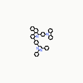 c1ccc(-c2cc(-c3ccc(-c4cccc5c4nc(-c4ccc(-n6c7ccccc7c7ccccc76)cc4)c4ccc6ccccc6c45)cc3)nc(-c3ccccc3)n2)cc1